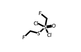 O=S(Cl)(Cl)(CF)SCF